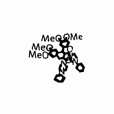 COc1ccc(C2c3cc(OC)c(OC)cc3CC(C(=O)N3CCN(c4ccccc4)CC3)C2C(=O)N2CCN(c3ccccc3)CC2)cc1OC